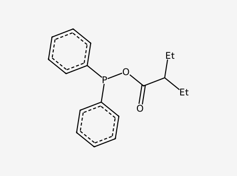 CCC(CC)C(=O)OP(c1ccccc1)c1ccccc1